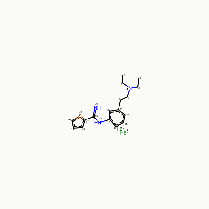 Br.Br.CCN(CC)CCc1cccc(NC(=N)c2cccs2)c1